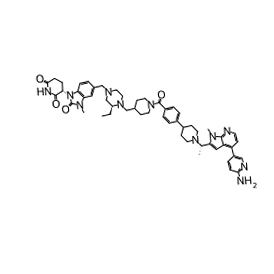 CC[C@H]1CN(Cc2ccc3c(c2)n(C)c(=O)n3[C@H]2CCC(=O)NC2=O)CCN1CC1CCN(C(=O)c2ccc(C3CCN([C@@H](C)c4cc5c(-c6ccc(N)nc6)ccnc5n4C)CC3)cc2)CC1